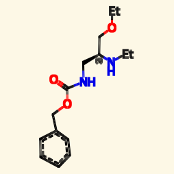 CCN[C@@H](CNC(=O)OCc1ccccc1)COCC